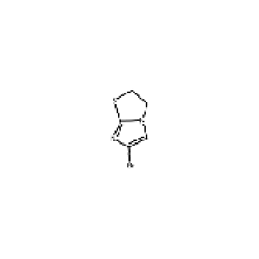 Brc1cn2c(n1)SCC2